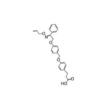 C=CCON=C(COc1ccc(COc2ccc(CCC(=O)O)cc2)cc1)c1ccccc1